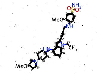 COc1cc(S(N)(=O)=O)ccc1NCC#Cc1cc2c(N[C@H]3CC[C@H](N4CCC(OC)C4)CC3)cccc2n1CC(F)(F)F